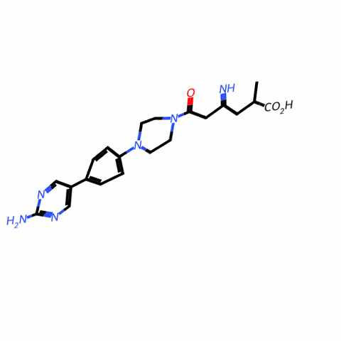 CC(CC(=N)CC(=O)N1CCN(c2ccc(-c3cnc(N)nc3)cc2)CC1)C(=O)O